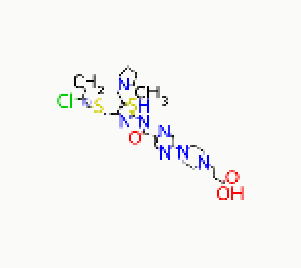 C=C/C(Cl)=C\SCc1nc(NC(=O)c2cnc(N3CCN(CCC(=O)O)CC3)cn2)sc1CN1CCCC1C